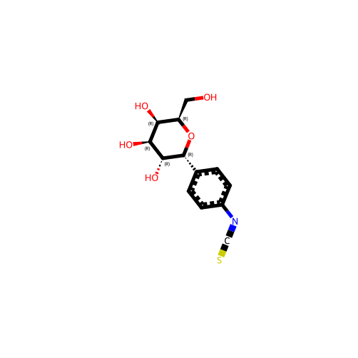 OC[C@H]1O[C@H](c2ccc(N=C=S)cc2)[C@H](O)[C@@H](O)[C@H]1O